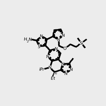 CC[C@@H]1c2nnc(C)n2-c2cnc(-c3sc(N)nc3-c3ccnn3COCC[Si](C)(C)C)nc2N1C(C)C